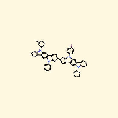 Cc1cccc(-n2c3ccccc3c3cc4c(cc32)c2ccc(-c3ccc5c6cc7c(cc6n(-c6ccc(I)cc6)c5c3)c3ccccc3n7-c3ccccc3)cc2n4-c2ccccc2)c1